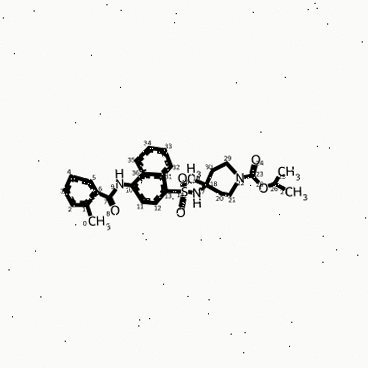 Cc1ccccc1C(=O)Nc1ccc(S(=O)(=O)NC2(C)CCN(C(=O)OC(C)C)CC2)c2ccccc12